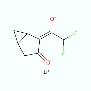 O=C1CC2CC2C1=C([O-])C(F)F.[Li+]